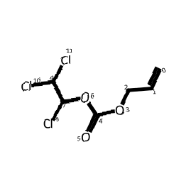 C=CCOC(=O)OC(Cl)C(Cl)Cl